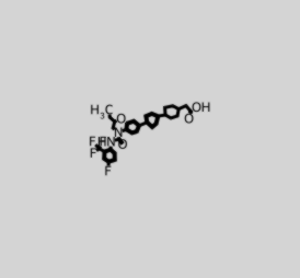 CCC1CN(C(=O)Nc2ccc(F)cc2C(F)(F)F)c2ccc(-c3ccc(C4CCC(CC(=O)O)CC4)cc3)cc2O1